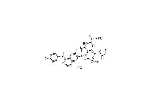 CN[C@@H](C)C(=O)N[C@H](C(=O)NC(=O)[C@@H]1CCCN1)C(C)(C)Cc1cc2c(Nc3ccc(F)c(Cl)c3)ncnc2cc1OCCOC.Cl